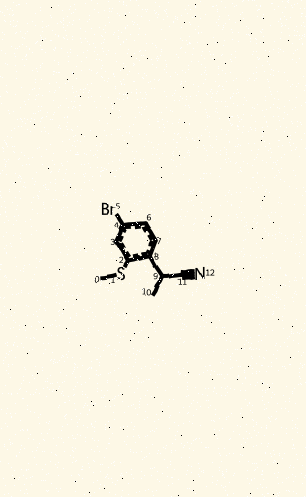 CSc1cc(Br)ccc1C(C)C#N